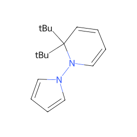 CC(C)(C)C1(C(C)(C)C)C=CC=CN1n1cccc1